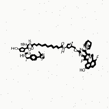 C#Cc1c(F)ccc2cc(O)cc(-c3ncc4c(N5CC6CCC(C5)N6)nc(OCC5C[C@@H](NC(=O)CCCCCCCCCCC(=O)N[C@H](C(=O)C6C[C@H](O)C[C@H]6C(=O)N[C@@H](C)c6ccc(-c7scnc7C)cc6)C(C)(C)C)CN5C)nc4c3F)c12